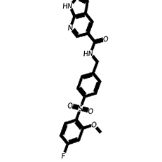 COc1cc(F)ccc1S(=O)(=O)c1ccc(CNC(=O)c2cnc3[nH]ncc3c2)cc1